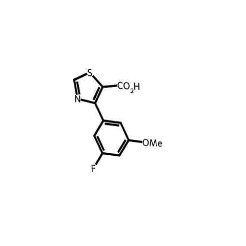 COc1cc(F)cc(-c2ncsc2C(=O)O)c1